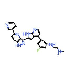 CN(C)CCNc1cc(F)cc(-c2ccnc3[nH]c(-c4n[nH]c5ccc(-c6cccnc6)nc45)cc23)c1